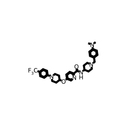 CN(C)c1ccc(CN2CCC(NC(=O)c3ccc(OC4CCN(c5ccc(C(F)(F)F)cc5)CC4)cn3)CC2)cc1